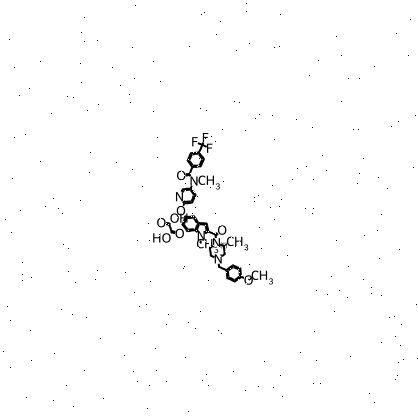 COc1ccc(CN2CCN(C(=O)c3cc4cc(Oc5ccc(N(C)C(=O)c6ccc(C(F)(F)F)cc6)cn5)ccc4n3C)[C@@H](C)C2)cc1.O=C(O)C(=O)O